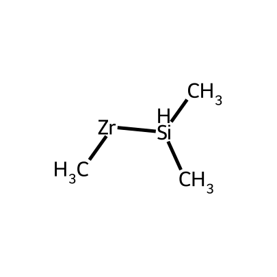 [CH3][Zr][SiH](C)C